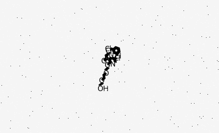 Cc1cc(=O)c2c(OCCOCCOCCO)ncc(Cl)c2n1-c1c(Cl)cccc1Cl